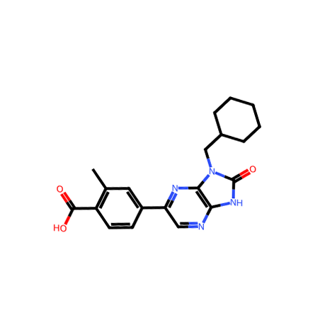 Cc1cc(-c2cnc3[nH]c(=O)n(CC4CCCCC4)c3n2)ccc1C(=O)O